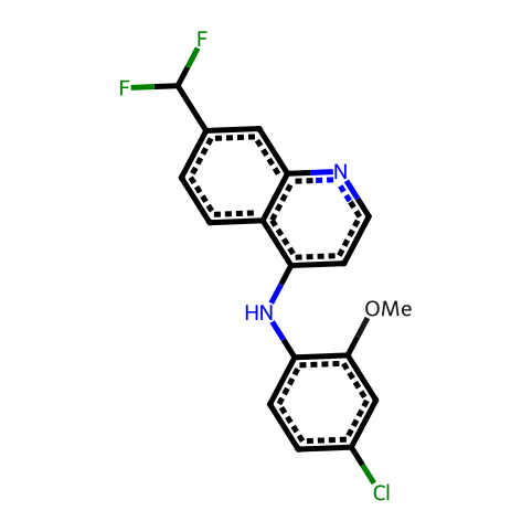 COc1cc(Cl)ccc1Nc1ccnc2cc(C(F)F)ccc12